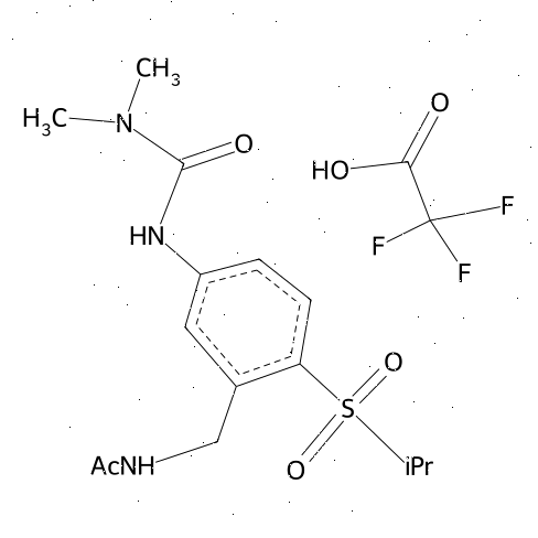 CC(=O)NCc1cc(NC(=O)N(C)C)ccc1S(=O)(=O)C(C)C.O=C(O)C(F)(F)F